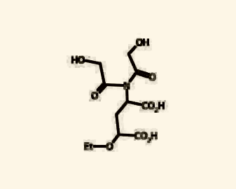 CCOC(CC(C(=O)O)N(C(=O)CO)C(=O)CO)C(=O)O